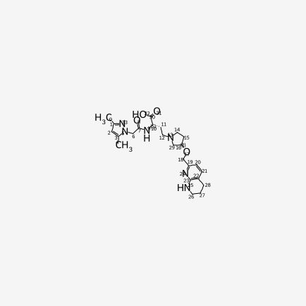 Cc1cc(C)n(CC(=O)N[C@@H](CCN2CC[C@@H](OCc3ccc4c(n3)NCCC4)C2)C(=O)O)n1